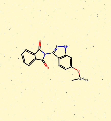 C[SiH](Oc1ccc2c(N3C(=O)c4ccccc4C3=O)n[nH]c2c1)C(C)(C)C